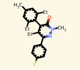 CCc1cc(C)cc(CC)c1-c1c(CC)c(-c2ccc(F)cc2)nn(C)c1=O